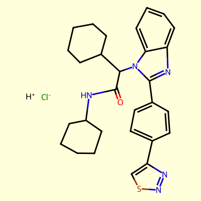 O=C(NC1CCCCC1)C(C1CCCCC1)n1c(-c2ccc(-c3csnn3)cc2)nc2ccccc21.[Cl-].[H+]